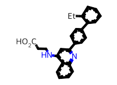 CCc1ccccc1-c1ccc(-c2cc(NCCC(=O)O)c3ccccc3n2)cc1